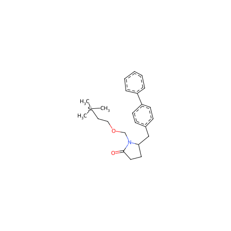 C[Si](C)(C)CCOCN1C(=O)CCC1Cc1ccc(-c2ccccc2)cc1